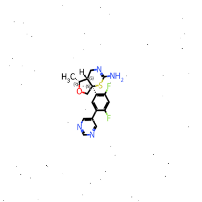 C[C@H]1OC[C@]2(c3cc(-c4cncnc4)c(F)cc3F)SC(N)=NC[C@@H]12